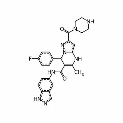 CC1=C(C(=O)Nc2ccc3[nH]ncc3c2)C(c2ccc(F)cc2)n2nc(C(=O)N3CCNCC3)cc2N1